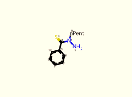 CCCCCN(N)C(=S)c1ccccc1